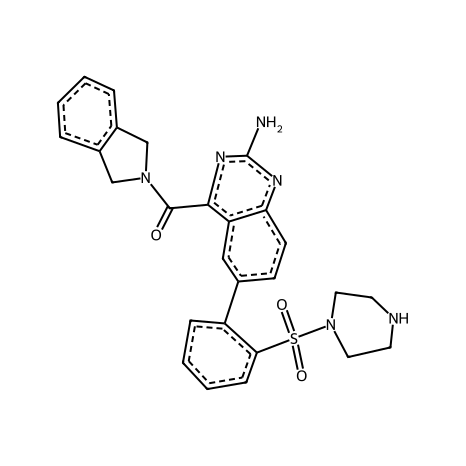 Nc1nc(C(=O)N2Cc3ccccc3C2)c2cc(-c3ccccc3S(=O)(=O)N3CCNCC3)ccc2n1